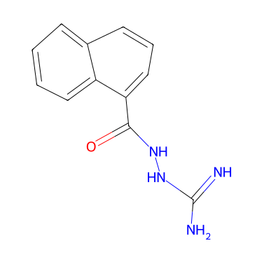 N=C(N)NNC(=O)c1cccc2ccccc12